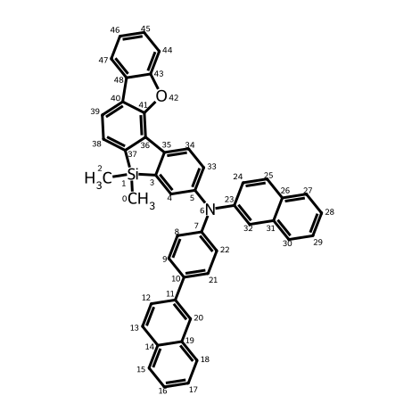 C[Si]1(C)c2cc(N(c3ccc(-c4ccc5ccccc5c4)cc3)c3ccc4ccccc4c3)ccc2-c2c1ccc1c2oc2ccccc21